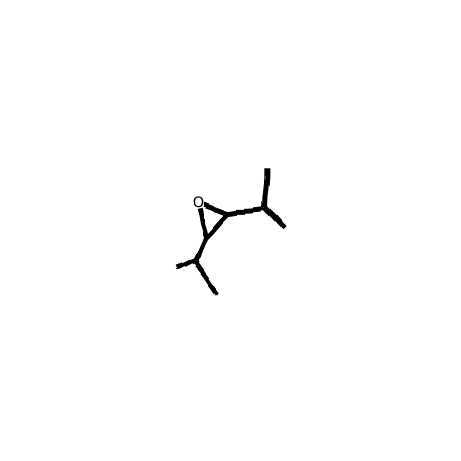 CC(C)C1OC1C(C)C